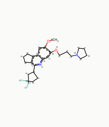 COc1cc2c3c(c(C4CCC(F)(F)C4)nc2cc1OCCCN1CCCC1)CCC3